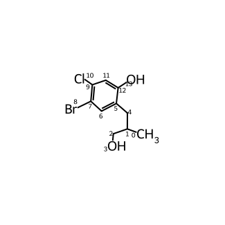 CC(CO)Cc1cc(Br)c(Cl)cc1O